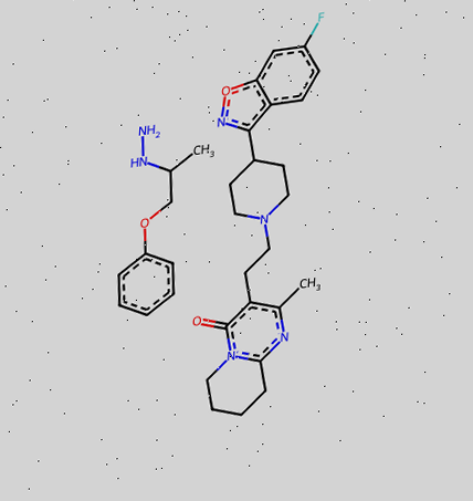 CC(COc1ccccc1)NN.Cc1nc2n(c(=O)c1CCN1CCC(c3noc4cc(F)ccc34)CC1)CCCC2